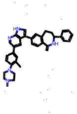 C=C1NC(c2ccccc2)CCc2cc(-c3c[nH]c4ncc(-c5ccc(N6CCN(C)CC6)c(C)c5)cc34)ccc21